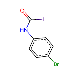 O=C(I)Nc1ccc(Br)cc1